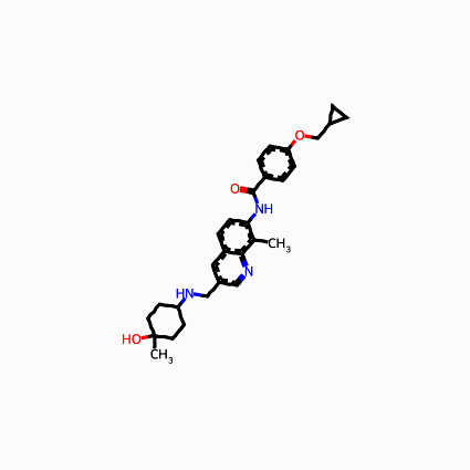 Cc1c(NC(=O)c2ccc(OCC3CC3)cc2)ccc2cc(CNC3CCC(C)(O)CC3)cnc12